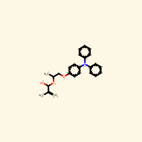 C=C(C)C(O)OC(C)COc1ccc(N(c2ccccc2)c2ccccc2)cc1